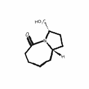 O=C(O)[C@@H]1CC[C@@H]2CCCCC(=O)N21